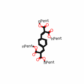 CCCCCOC(=O)C(=Cc1[c]cc(C=C(C(=O)OCCCCC)C(=O)OCCCCC)cc1)C(=O)OCCCCC